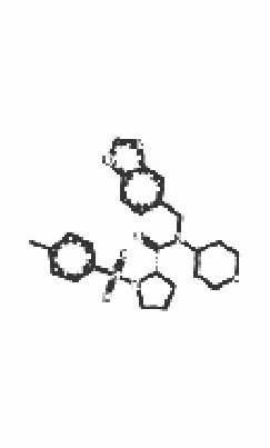 Cc1ccc(S(=O)(=O)N2CCC[C@H]2C(=O)N(Cc2ccc3ocnc3c2)C2CCOCC2)cc1